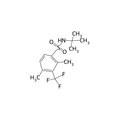 Cc1ccc(S(=O)(=O)NC(C)(C)C)c(C)c1C(F)(F)F